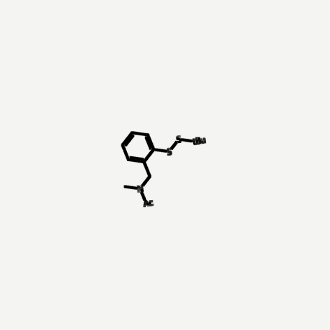 CC(=O)N(C)Cc1ccccc1SSC(C)(C)C